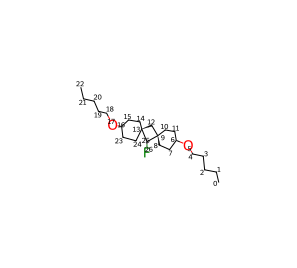 CCCCCOC1CC[C@]2(CC1)C[C@@]1(CCC(OCCCCC)CC1)C2F